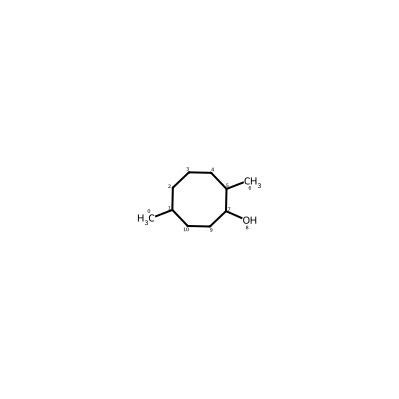 CC1CCCC(C)C(O)CC1